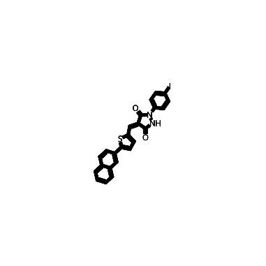 O=C1NN(c2ccc(I)cc2)C(=O)C1=Cc1ccc(-c2ccc3ccccc3c2)s1